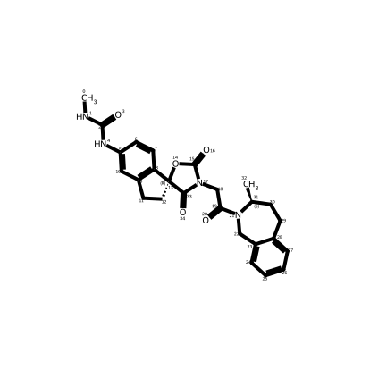 CNC(=O)Nc1ccc2c(c1)CC[C@@]21OC(=O)N(CC(=O)N2Cc3ccccc3CC[C@@H]2C)C1=O